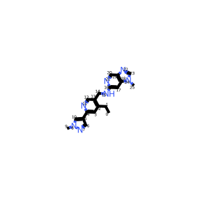 CCc1cc(-c2cnn(C)c2)ncc1CNc1cc2c(cn1)ncn2C